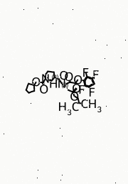 CC(C)COC(=O)C[C@H](NC(=O)[C@@H]1CCCN(C(=O)OC2CCCC2)C1)C(=O)COc1c(F)c(F)cc(F)c1F